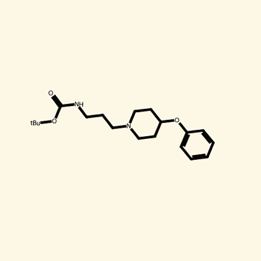 CC(C)(C)OC(=O)NCCCN1CCC(Oc2ccccc2)CC1